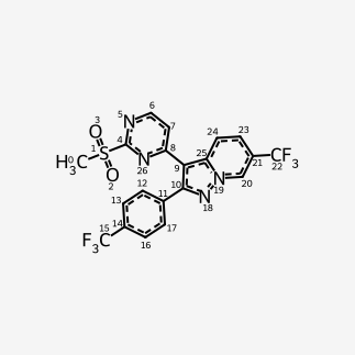 CS(=O)(=O)c1nccc(-c2c(-c3ccc(C(F)(F)F)cc3)nn3cc(C(F)(F)F)ccc23)n1